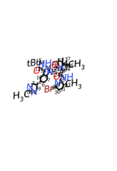 Cc1ncc(-c2ccc3c(c2)c(C(=O)NC(C)(C)C)nn3CC(=O)N2[C@H](C(=O)Nc3nc(Br)ccc3C)C[C@@]3(C)C[C@@H]23)cn1